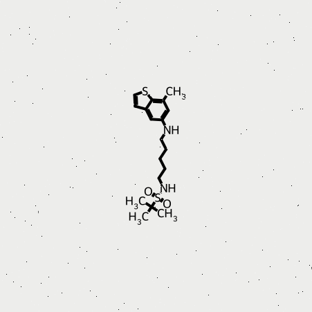 Cc1cc(NCCCCCNS(=O)(=O)C(C)(C)C)cc2ccsc12